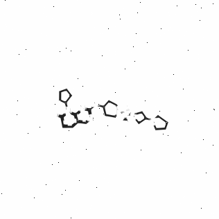 O=c1ccc2cnc(NC3CCN(S(=O)(=O)N4CC(N5CCCC5)C4)CC3)nc2n1C1CCCC1